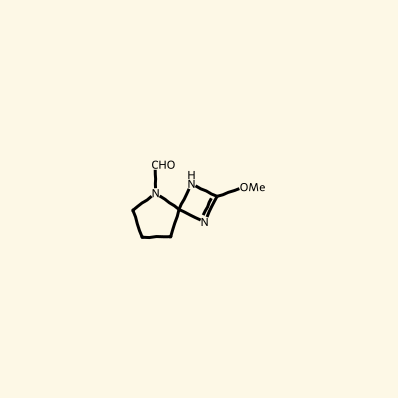 COC1=NC2(CCCN2C=O)N1